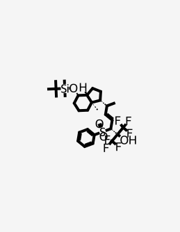 CC(C=C[C@H](C(O)(C(F)(F)F)C(F)(F)F)S(=O)(=O)c1ccccc1)[C@H]1CC[C@H]2[C@@H](O[Si](C)(C)C(C)(C)C)CCC[C@]12C